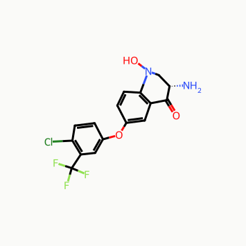 N[C@H]1CN(O)c2ccc(Oc3ccc(Cl)c(C(F)(F)F)c3)cc2C1=O